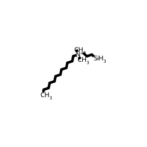 CCCCCCCCCCCC[N+](C)(C)CCC[SiH3]